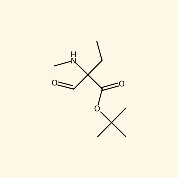 CCC(C=O)(NC)C(=O)OC(C)(C)C